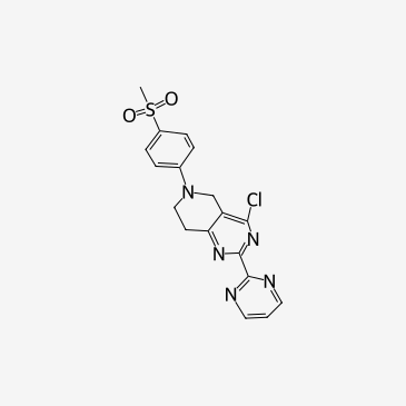 CS(=O)(=O)c1ccc(N2CCc3nc(-c4ncccn4)nc(Cl)c3C2)cc1